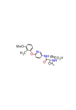 COc1cccc(Oc2ccc(NC(=O)[C@](C)(NC(=O)O)C(C)(C)C)cn2)c1C